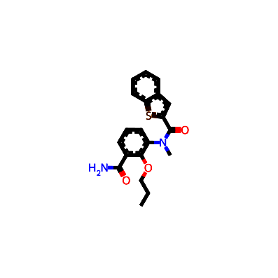 CCCOc1c(C(N)=O)cccc1N(C)C(=O)c1cc2ccccc2s1